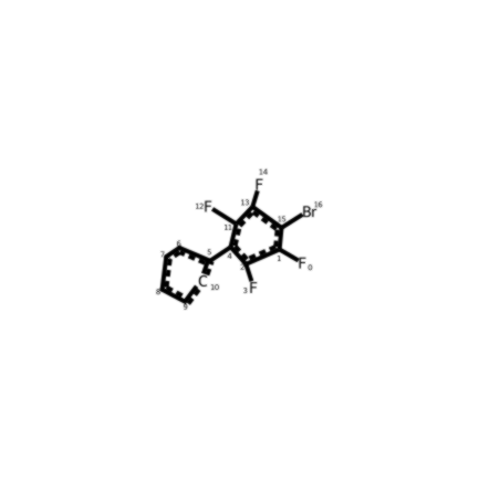 Fc1c(F)c(-c2ccccc2)c(F)c(F)c1Br